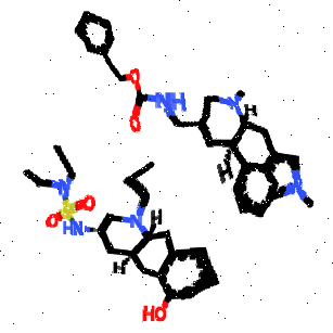 CCCN1C[C@@H](NS(=O)(=O)N(CC)CC)C[C@@H]2Cc3c(O)cccc3C[C@H]21.CN1C[C@H](CNC(=O)OCc2ccccc2)C[C@@H]2c3cccc4c3c(cn4C)C[C@H]21